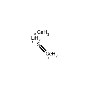 [GaH3].[LiH].[S]=[GeH2]